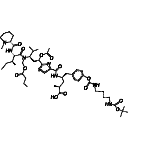 CCCC(=O)OCN(C(=O)[C@@H](NC(=O)[C@H]1CCCCN1C)[C@@H](C)CC)[C@H](C[C@@H](OC(C)=O)c1nc(C(=O)N[C@@H](Cc2ccc(OC(=O)NCCCCNC(=O)OC(C)(C)C)cc2)C[C@H](C)C(=O)O)cs1)C(C)C